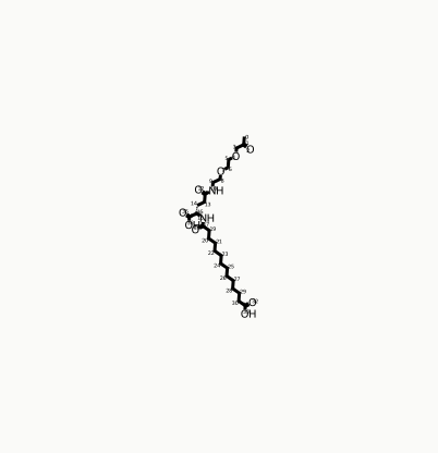 CC(=O)COCCOCCNC(=O)CC[C@H](NC(=O)CCCCCCCCCCCCC(=O)O)C(=O)O